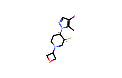 Cc1c(I)cnn1[C@@H]1CCN(C2COC2)C[C@@H]1F